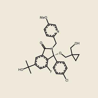 COc1ccc(CN2C(=O)c3cc(C(C)(C)O)cc(F)c3[C@]2(OCC2(CO)CC2)c2ccc(Cl)cc2)nc1